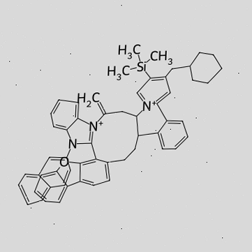 C=C1CC2C(CCc3ccc4c(oc5ccccc54)c3-c3n(-c4ccc5ccccc5c4)c4ccccc4[n+]31)c1ccccc1-c1cc(CC3CCCCC3)c([Si](C)(C)C)c[n+]12